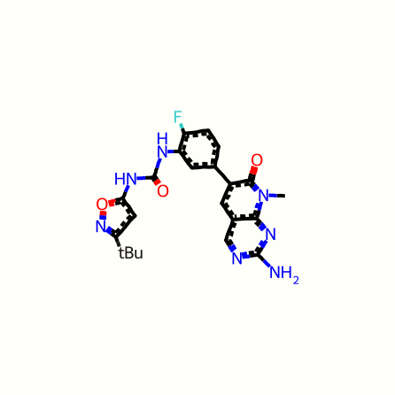 Cn1c(=O)c(-c2ccc(F)c(NC(=O)Nc3cc(C(C)(C)C)no3)c2)cc2cnc(N)nc21